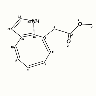 COC(=O)CC1=CC=CC=Cc2cc[nH]c21